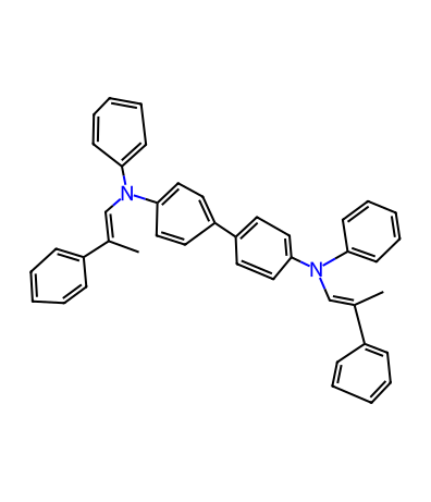 CC(=CN(c1ccccc1)c1ccc(-c2ccc(N(C=C(C)c3ccccc3)c3ccccc3)cc2)cc1)c1ccccc1